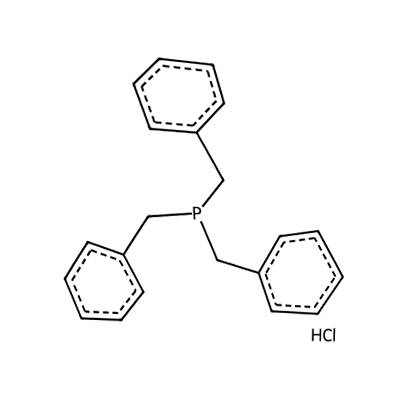 Cl.c1ccc(CP(Cc2ccccc2)Cc2ccccc2)cc1